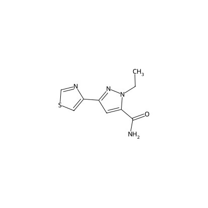 CCn1nc(-c2cscn2)cc1C(N)=O